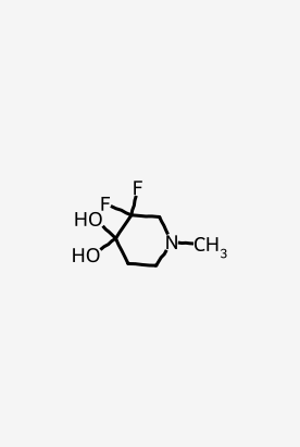 CN1CCC(O)(O)C(F)(F)C1